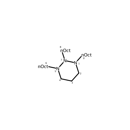 CCCCCCCCN1CCCN(CCCCCCCC)N1CCCCCCCC